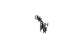 CC(=O)N1[C@H](C)CN(c2ccc(Nc3ncc(F)c(-c4cnc(C)n4C(C)C)n3)cc2)C[C@@H]1C